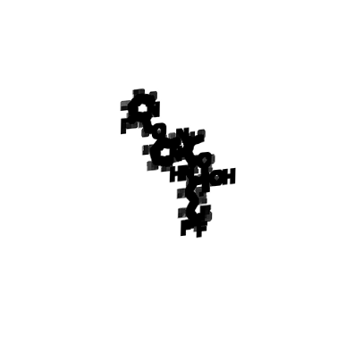 Cc1nc2c(OCc3ncccc3F)cccn2c1C(=O)NC(CCCC(F)(F)F)C(C)(C)O